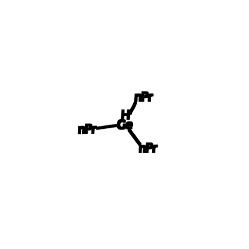 CC[CH2][GeH]([CH2]CC)[CH2]CC